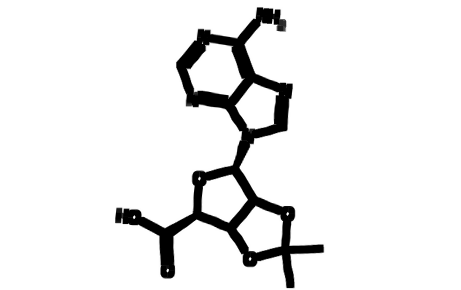 CC1(C)OC2C(O1)[C@H](n1cnc3c(N)ncnc31)O[C@@H]2C(=O)O